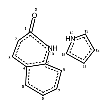 O=c1ccc2ccccc2[nH]1.c1cc[nH]c1